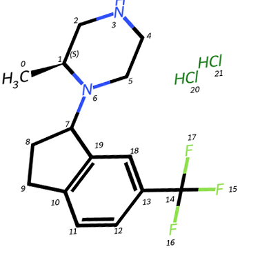 C[C@H]1CNCCN1C1CCc2ccc(C(F)(F)F)cc21.Cl.Cl